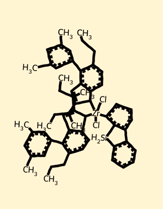 CCCc1ccc2c(c1-c1cc(C)cc(C)c1)C=C(C(C)CC)[CH]2[Zr]([Cl])([Cl])([c]1cccc2c1[SiH2]c1ccccc1-2)[CH]1C(C(C)CC)=Cc2c1ccc(CCC)c2-c1cc(C)cc(C)c1